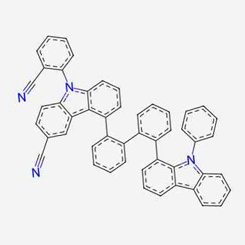 N#Cc1ccc2c(c1)c1c(-c3ccccc3-c3ccccc3-c3cccc4c5ccccc5n(-c5ccccc5)c34)cccc1n2-c1ccccc1C#N